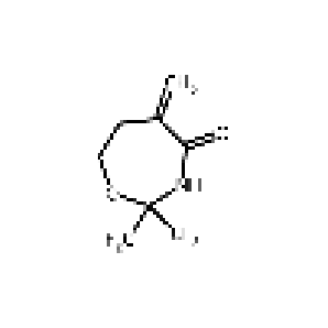 C=C1CCOC(C(F)(F)F)(C(F)(F)F)NC1=O